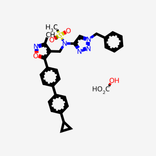 Cc1noc(-c2ccc(-c3ccc(C4CC4)cc3)cc2)c1CN(c1cn(Cc2ccccc2)nn1)S(C)(=O)=O.O=C(O)O